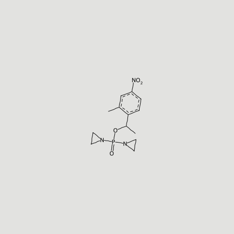 Cc1cc([N+](=O)[O-])ccc1C(C)OP(=O)(N1CC1)N1CC1